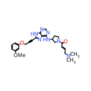 COc1cccc(OCC#Cc2nc3c(NC4CCN(C(=O)/C=C/CN(C)C)C4)ncnc3[nH]2)c1